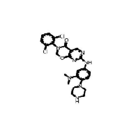 CN(C)c1cc(Nc2ncc3c(n2)OCN(c2c(Cl)cccc2Cl)C3=O)ccc1N1CCNCC1